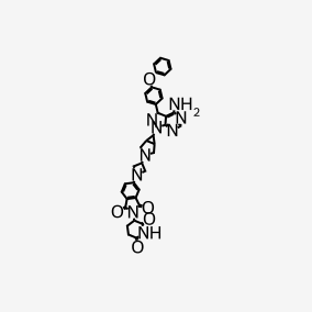 Nc1ncnc2c1c(-c1ccc(Oc3ccccc3)cc1)nn2C1C2CN(C3CN(c4ccc5c(c4)C(=O)N(C4CCC(=O)NC4=O)C5=O)C3)CC21